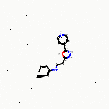 C#C/C=C(\C=C/C)NCCc1nnc(-c2ccncc2)o1